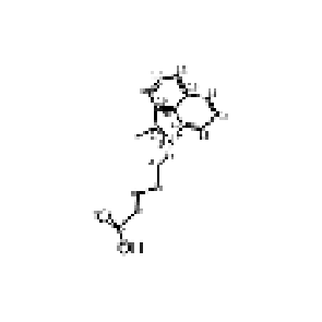 CC1=[N+](CCCCCC(=O)O)c2cccc3cccc1c23